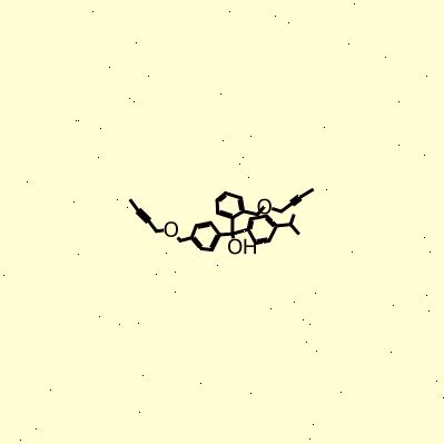 CC#CCOCc1ccc(C(O)(c2ccc(C(C)C)cc2)c2ccccc2COCC#CC)cc1